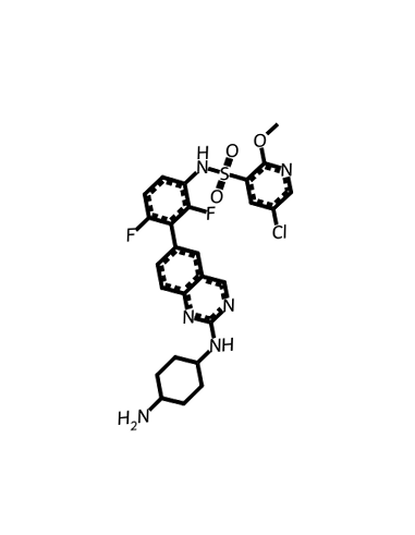 COc1ncc(Cl)cc1S(=O)(=O)Nc1ccc(F)c(-c2ccc3nc(NC4CCC(N)CC4)ncc3c2)c1F